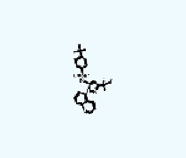 CC(C)(C)c1ccc(S(=O)(=O)Nc2cc(C(F)(F)F)nn2-c2cccc3ncccc23)cc1